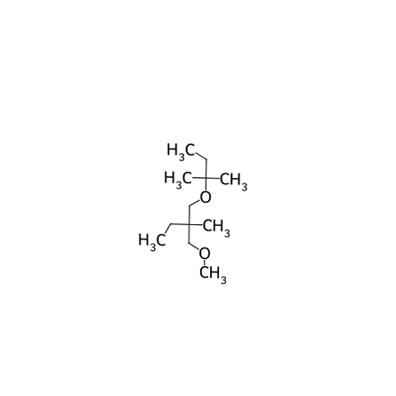 CCC(C)(COC)COC(C)(C)CC